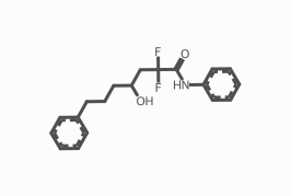 O=C(Nc1ccccc1)C(F)(F)CC(O)CCCc1ccccc1